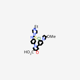 CCN1CCN(c2nc3ccc(-n4cc(C(=O)O)c(=O)cc4-c4ccc(N5CC[C@@H](OC)C5)c(Cl)c4)cc3s2)CC1